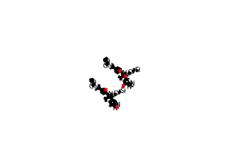 Cc1cc(-c2c(C(C)C)c(-c3ccc(C4CN(C(=O)OC(C)(C)C)C4)cc3)nn2COCC[Si](C)(C)C)cn2ncnc12.Cc1cc(-c2c(C(C)C)c(-c3ccc(C4CN(C(=O)OC(C)(C)C)C4)cc3)nn2COCC[Si](C)(C)C)cn2ncnc12